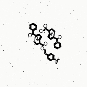 CN(C)c1ccc(CCOC(=O)C2CCn3c(C(=O)c4ccccc4)ccc32)cc1.O=C(c1ccccc1)c1ccc2n1CCC2C(=O)Cl